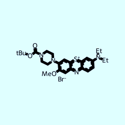 CCN(CC)c1ccc2nc3cc(OC)c(N4CCN(C(=O)OC(C)(C)C)CC4)cc3[s+]c2c1.[Br-]